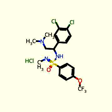 CN=S(=O)(NC(CN(C)C)c1ccc(Cl)c(Cl)c1)c1ccc(OC(F)(F)F)cc1.Cl